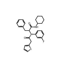 O=C(NC1CCCCC1)C(Cc1ccccc1)N(C(=O)Cc1cccs1)c1cccc(F)c1